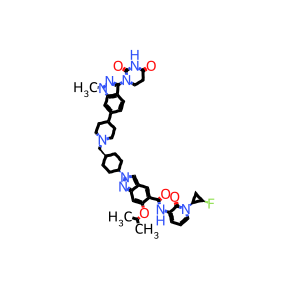 CC(C)Oc1cc2nn([C@H]3CC[C@H](CN4CCC(c5ccc6c(N7CCC(=O)NC7=O)nn(C)c6c5)CC4)CC3)cc2cc1C(=O)Nc1cccn([C@H]2C[C@H]2F)c1=O